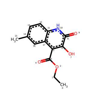 CCOC(=O)c1c(O)c(=O)[nH]c2ccc(C)cc12